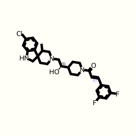 CC1CN(C[C@@H](O)C2CCN(C(=O)/C=C/c3cc(F)cc(F)c3)CC2)CCC12CNc1cc(Cl)ccc12